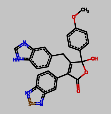 COc1ccc(C2(O)OC(=O)C(c3ccc4nsnc4c3)=C2Cc2ccc3[nH]cnc3c2)cc1